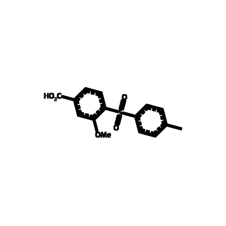 COc1cc(C(=O)O)ccc1S(=O)(=O)c1ccc(C)cc1